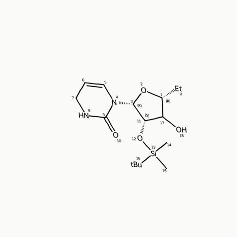 CC[C@H]1O[C@@H](N2C=CCNC2=O)[C@@H](O[Si](C)(C)C(C)(C)C)C1O